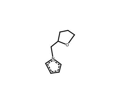 c1ccn(CC2CCCO2)c1